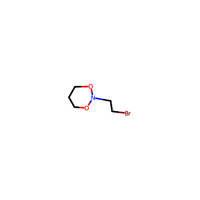 BrCCN1OCCCO1